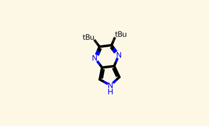 CC(C)(C)c1nc2c[nH]cc2nc1C(C)(C)C